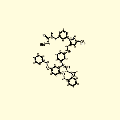 CC(C)(C)OC(=O)NCc1cccc(-n2nc(C(F)(F)F)cc2CNc2cccc(C(NCC3CC3)c3cc(OCc4ccccc4)ccc3OCc3ccccc3)c2)c1